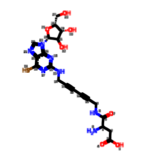 NC(CC(=O)O)C(=O)NCC#CC#CCNc1nc(S)c2ncn([C@@H]3O[C@H](CO)[C@H](O)C3O)c2n1